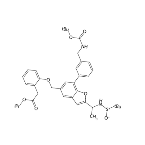 CC(C)OC(=O)Cc1ccccc1OCc1cc(-c2cccc(CNC(=O)OC(C)(C)C)c2)c2oc(C(C)N[S+]([O-])C(C)(C)C)cc2c1